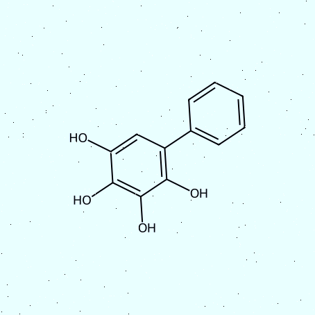 Oc1cc(-c2ccccc2)c(O)c(O)c1O